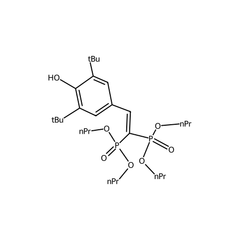 CCCOP(=O)(OCCC)C(=Cc1cc(C(C)(C)C)c(O)c(C(C)(C)C)c1)P(=O)(OCCC)OCCC